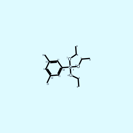 CCO[Si](OCC)(OCC)c1cc(C)cc(C)c1